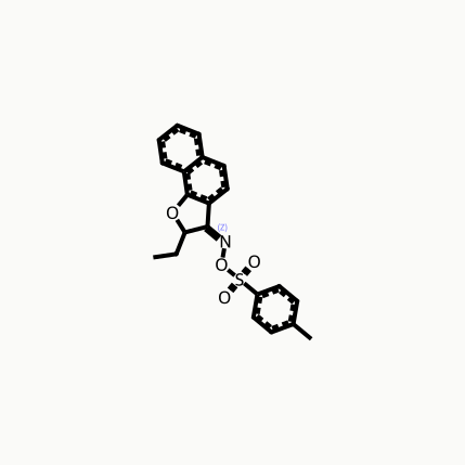 CCC1Oc2c(ccc3ccccc23)/C1=N/OS(=O)(=O)c1ccc(C)cc1